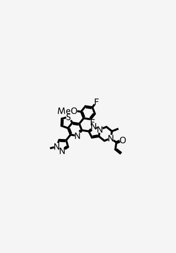 C=CC(=O)N1Cc2cc(-c3nc(-c4cnn(C)c4)c4ccsc4c3-c3c(F)cc(F)cc3OC)nn2CC1C